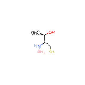 BN[C@@H](CS)[C@H](O)C=O